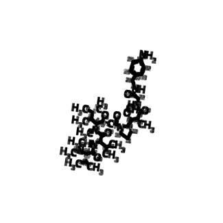 CC[C@H](C)[C@@H]([C@@H](CC(=O)N1CCC[C@H]1[C@H](OC)[C@@H](C)C(=O)NCC(=O)NCc1ccc(N)cc1)OC)N(C)C(=O)C(NC(=O)[C@H](C(C)C)N(C)C)C(C)C